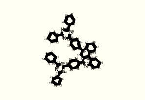 c1ccc(-c2nc(-c3ccccc3)nc(-c3ccc(-c4cc5c(-c6ccc(-c7nc(-c8ccccc8)nc(-c8ccccc8)n7)cc6)nc6ccccc6c5c5ccccc45)cc3)n2)cc1